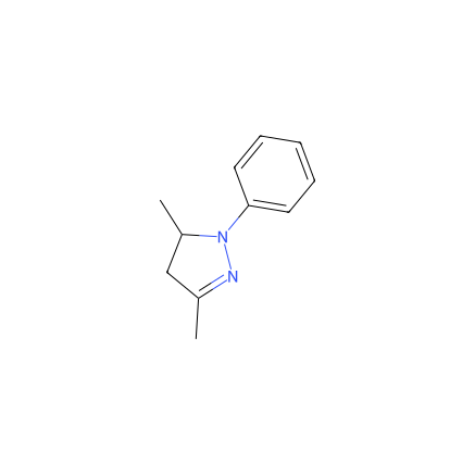 CC1=NN(c2ccccc2)C(C)C1